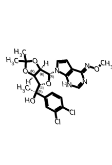 CON=c1nc[nH]c2c1ccn2[C@@H]1O[C@H]([C@](C)(O)c2ccc(Cl)c(Cl)c2)[C@H]2OC(C)(C)O[C@H]21